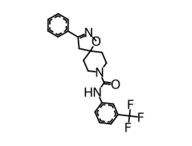 O=C(Nc1cccc(C(F)(F)F)c1)N1CCC2(CC1)CC(c1ccccc1)=NO2